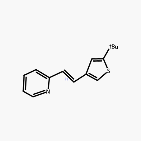 CC(C)(C)c1cc(/C=C/c2ccccn2)cs1